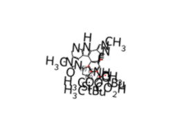 C[C@H](CC(=O)O)c1ccc(-c2c(-c3cn(C)nc3F)[nH]c3ncc4c(c23)n([C@H]2C[C@H](NC(=O)OC(C)(C)C)[C@H](O[Si](C)(C)C(C)(C)C)C2)c(=O)n4C)c(F)c1